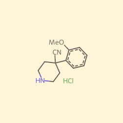 COc1ccccc1C1(C#N)CCNCC1.Cl